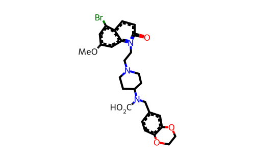 COc1cc(Br)c2ccc(=O)n(CCN3CCC(N(Cc4ccc5c(c4)OCCO5)C(=O)O)CC3)c2c1